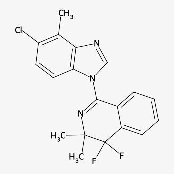 Cc1c(Cl)ccc2c1ncn2C1=NC(C)(C)C(F)(F)c2ccccc21